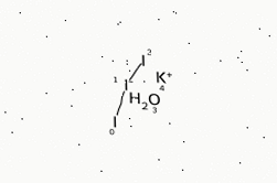 I[I-]I.O.[K+]